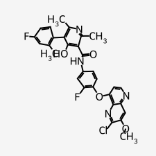 COc1cc2nccc(Oc3ccc(NC(=O)c4c(C)nc(C)c(-c5ccc(F)cc5C)c4O)cc3F)c2nc1Cl